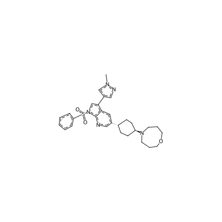 Cn1cc(-c2cn(S(=O)(=O)c3ccccc3)c3ncc([C@H]4CC[C@H](N5CCCOCCC5)CC4)cc23)cn1